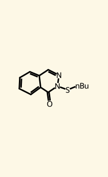 CCCCSn1ncc2ccccc2c1=O